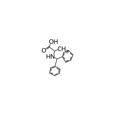 CC(NC(c1ccccc1)c1ccccc1)C(=O)O